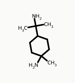 CC1(N)CCC(C(C)(C)N)CC1